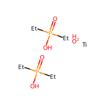 CCP(=O)(O)CC.CCP(=O)(O)CC.O.[Ti]